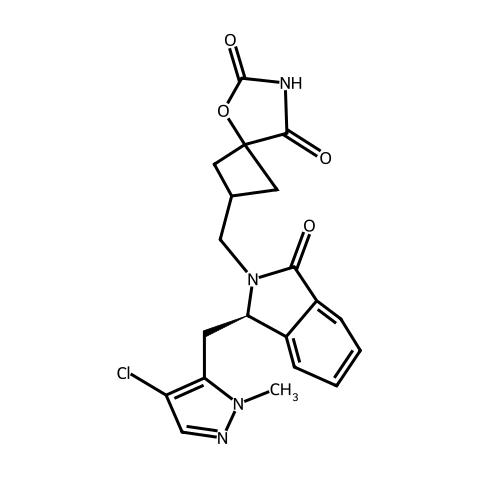 Cn1ncc(Cl)c1C[C@@H]1c2ccccc2C(=O)N1CC1CC2(C1)OC(=O)NC2=O